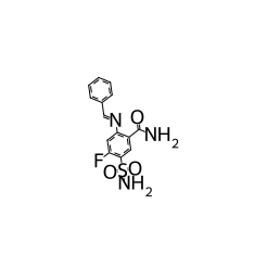 NC(=O)c1cc(S(N)(=O)=O)c(F)cc1N=Cc1ccccc1